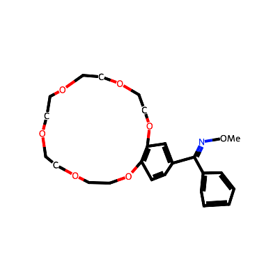 CON=C(c1ccccc1)c1ccc2c(c1)OCCOCCOCCOCCOCCO2